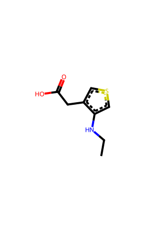 CCNc1cscc1CC(=O)O